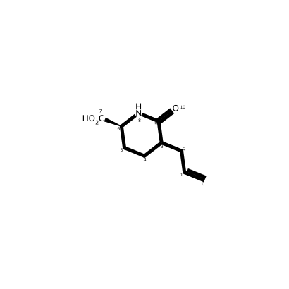 C=CCC1CC[C@@H](C(=O)O)NC1=O